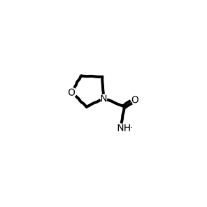 [NH]C(=O)N1CCOC1